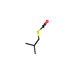 CC(C)CSB=O